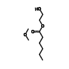 CCCCCC(=O)OCCO.COC